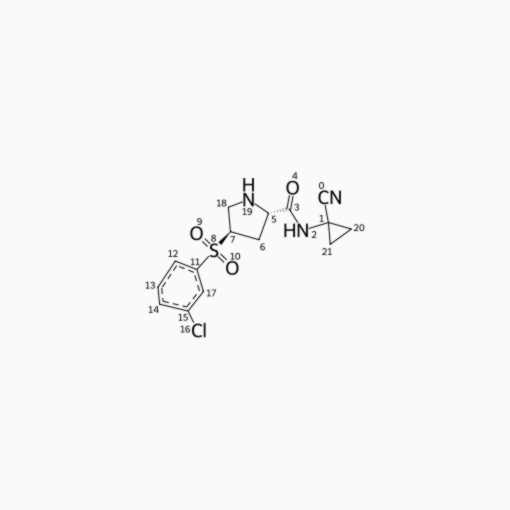 N#CC1(NC(=O)[C@@H]2C[C@@H](S(=O)(=O)c3cccc(Cl)c3)CN2)CC1